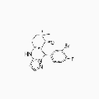 CC1(C)CCC2=C(C1=O)C(c1ccc(F)c(Br)c1)n1nccc1N2